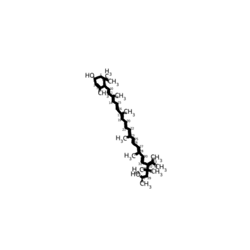 CC1=C[C@H](O)CC(C)(C)C1/C=C/C(C)=C/C=C/C(C)=C/C=C/C=C(C)/C=C/C=C(C)/C=C/C(=C(C)C)C(C)(C)C[C@@H](C)O